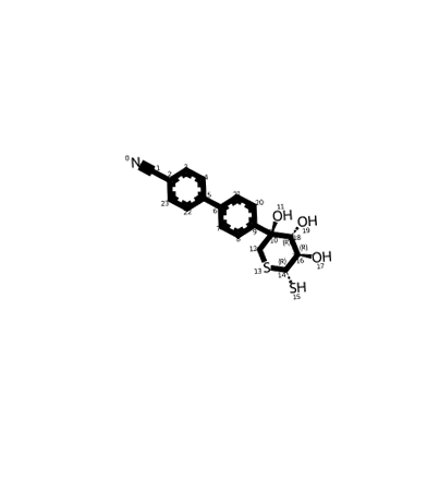 N#Cc1ccc(-c2ccc([C@@]3(O)CS[C@@H](S)[C@H](O)[C@H]3O)cc2)cc1